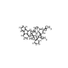 COc1ccc(C(C(Oc2ccccc2)C(=O)O)N(C=O)OCC2c3ccccc3-c3ccccc32)c(OC)c1